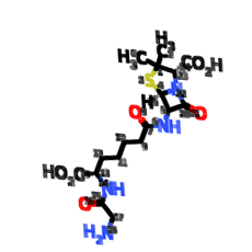 CC1(C)S[C@@H]2[C@H](NC(=O)CCCC[C@@H](NC(=O)CN)C(=O)O)C(=O)N2[C@H]1C(=O)O